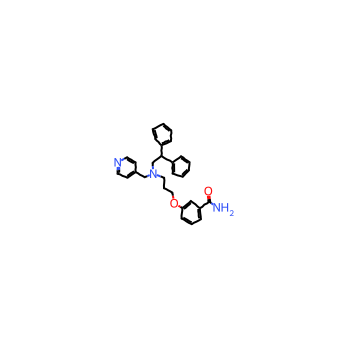 NC(=O)c1cccc(OCCCN(Cc2ccncc2)CC(c2ccccc2)c2ccccc2)c1